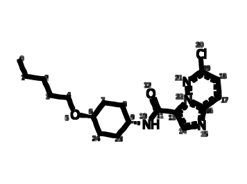 CCCCCO[C@H]1CC[C@H](NC(=O)c2cnc3ccc(Cl)nn23)CC1